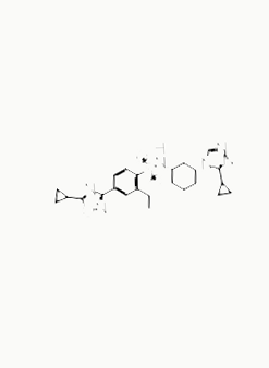 CCc1cc(-c2noc(C3CC3)n2)ccc1S(=O)(=O)N[C@H]1CCC[C@@H](n2cnnc2C2CC2)C1